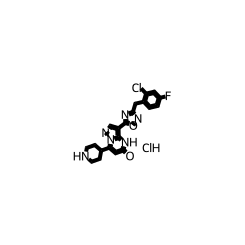 Cl.O=c1cc(C2CCNCC2)n2ncc(-c3nc(Cc4ccc(F)cc4Cl)no3)c2[nH]1